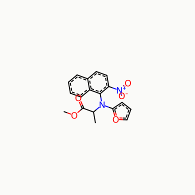 COC(=O)C(C)N(c1ccco1)c1c([N+](=O)[O-])ccc2ccccc12